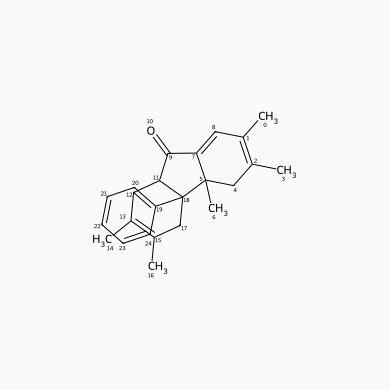 CC1=C(C)CC2(C)C(=C1)C(=O)C1CC(C)=C(C)CC12c1ccccc1